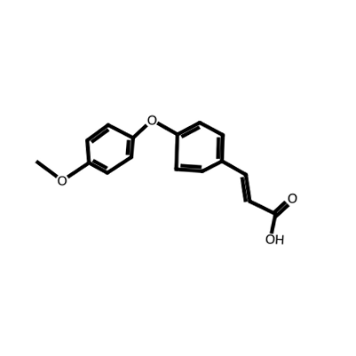 COc1ccc(Oc2ccc(C=CC(=O)O)cc2)cc1